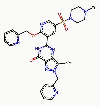 CCCc1c2nc(-c3cc(S(=O)(=O)N4CCN(CC)CC4)cnc3OCc3ccccn3)[nH]c(=O)c2nn1Cc1ccccn1